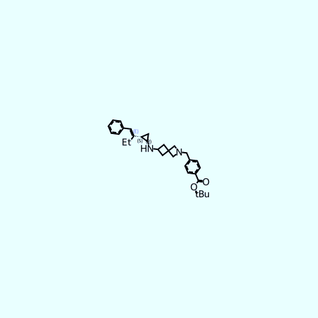 CC/C(=C\c1ccccc1)[C@@H]1C[C@H]1NC1CC2(C1)CN(Cc1ccc(C(=O)OC(C)(C)C)cc1)C2